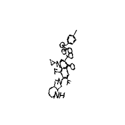 Cc1ccc(S(=O)(=O)OC(=O)c2cn(C3CC3)c3c(F)c(N4CC5CCCNC5C4)c(F)cc3c2=O)cc1